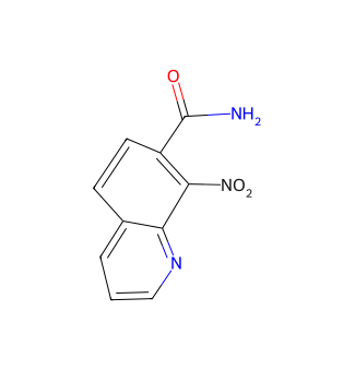 NC(=O)c1ccc2cccnc2c1[N+](=O)[O-]